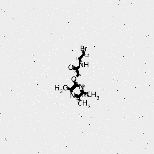 Cc1nc(C)c(OCC(=O)NCCBr)nc1C